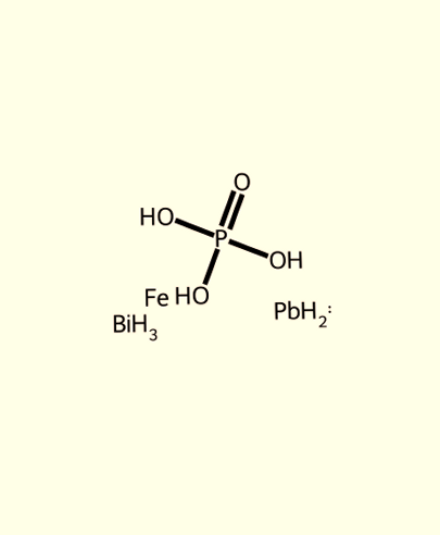 O=P(O)(O)O.[BiH3].[Fe].[PbH2]